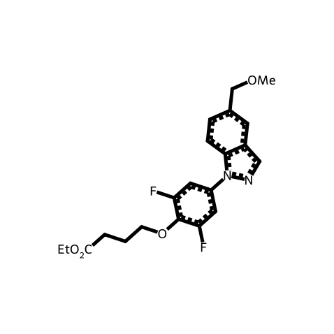 CCOC(=O)CCCOc1c(F)cc(-n2ncc3cc(COC)ccc32)cc1F